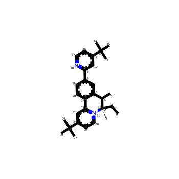 CC[C@]1(C)C(C)c2cc(-c3cc(C(C)(C)C)ccn3)ccc2-c2cc(C(C)(C)C)cc[n+]21